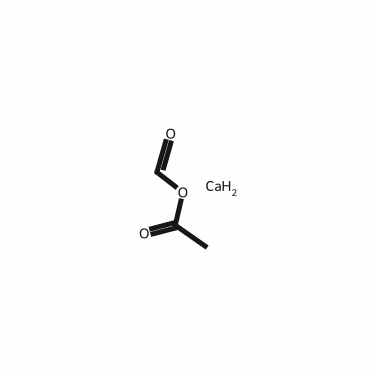 CC(=O)OC=O.[CaH2]